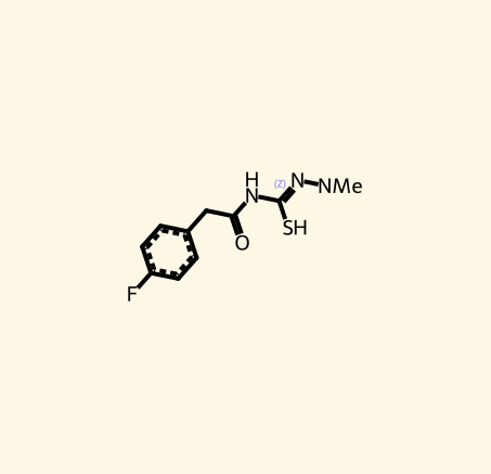 CN/N=C(\S)NC(=O)Cc1ccc(F)cc1